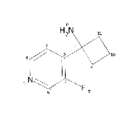 NC1(c2ccn[c]c2F)CCC1